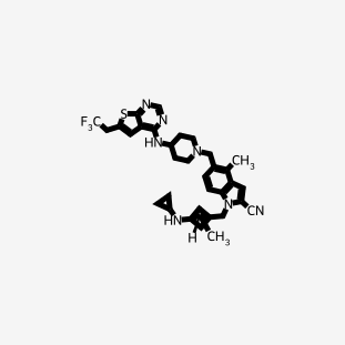 Cc1c(CN2CCC(Nc3ncnc4sc(CC(F)(F)F)cc34)CC2)ccc2c1cc(C#N)n2CC12CC(NC3CC3)(C1)[C@H]2C